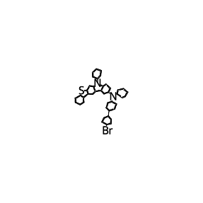 Brc1ccc(-c2ccc(N(c3ccccc3)c3ccc4c(c3)c3cc5c(cc3n4-c3ccccc3)sc3ccccc35)cc2)cc1